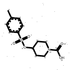 Cc1ccc(S(=O)(=O)OC2CCN(C(=O)O)CC2)cc1